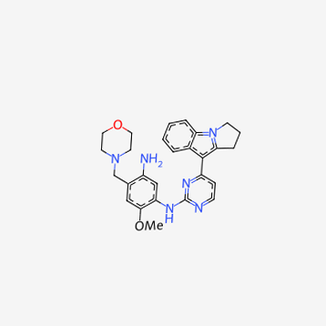 COc1cc(CN2CCOCC2)c(N)cc1Nc1nccc(-c2c3n(c4ccccc24)CCC3)n1